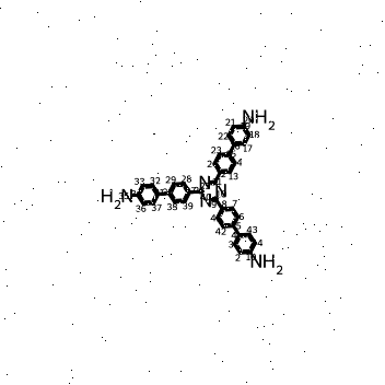 Nc1ccc(-c2ccc(-c3nc(-c4ccc(-c5ccc(N)cc5)cc4)nc(-c4ccc(-c5ccc(N)cc5)cc4)n3)cc2)cc1